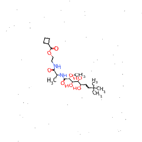 CO[C@@H](C(=O)N[C@@H](C)C(=O)NCCOC(=O)C1CCC1)[C@H](O)[C@@H](O)[C@H](O)/C=C/C(C)(C)C